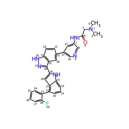 CN(C)CC(=O)Nc1cncc(-c2ccc3[nH]nc(-c4cc5c(-c6ccccc6F)cccc5[nH]4)c3c2)c1